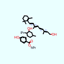 CC1=C(/C=C/C(C)=C/C=C/C(C)=C/CO)C(C)(C)CCC1.CC1CCC(C(C)C)C(O)C1.CCCOC(=O)c1ccc(O)cc1